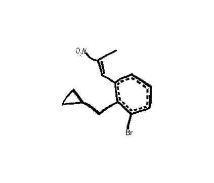 C/C(=C\c1cccc(Br)c1CC1CC1)[N+](=O)[O-]